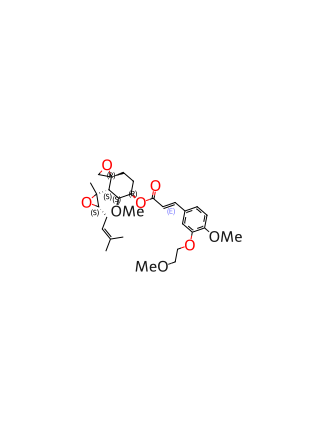 COCCOc1cc(/C=C/C(=O)O[C@@H]2CC[C@]3(CO3)[C@@H](C3(C)O[C@H]3CC=C(C)C)[C@@H]2OC)ccc1OC